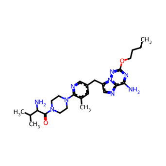 CCCCOc1nc(N)c2ncc(Cc3cnc(N4CCN(C(=O)C(N)C(C)C)CC4)c(C)c3)n2n1